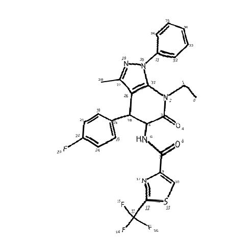 CCN1C(=O)C(NC(=O)c2csc(C(F)(F)F)n2)C(c2ccc(F)cc2)c2c(C)nn(-c3ccccc3)c21